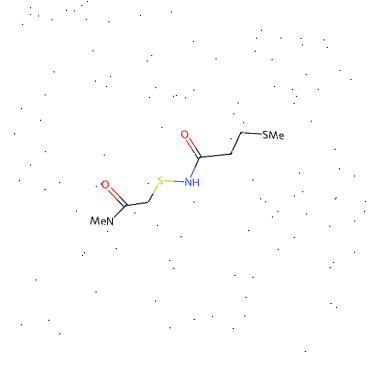 CNC(=O)CSNC(=O)CCSC